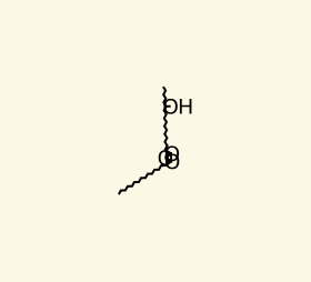 CCCCCCCCCCCCCCCC(=O)OC(=O)CCCCCCCCCCCC(O)CCCCC